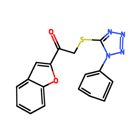 O=C(CSc1nnnn1-c1ccccc1)c1cc2ccccc2o1